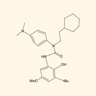 COc1cc(NC(=O)N(CCC2CCCCC2)c2ccc(N(C)C)cc2)c(O)c(C(C)(C)C)c1